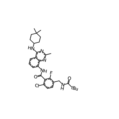 Cc1nc(NC2CCC(C)(C)CC2)c2cccc(NC(=O)c3c(Cl)ccc(CNC(=O)C(C)(C)C)c3F)c2n1